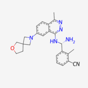 Cc1c(C#N)cccc1[C@@H](N)Nc1nnc(C)c2ccc(N3CC4(CCOC4)C3)cc12